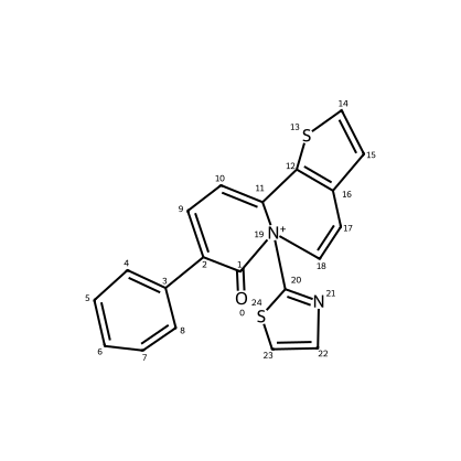 O=C1C(c2ccccc2)=CC=C2c3sccc3C=C[N+]12c1nccs1